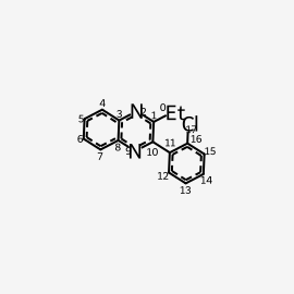 CCc1nc2ccccc2nc1-c1ccccc1Cl